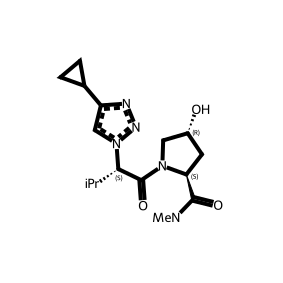 CNC(=O)[C@@H]1C[C@@H](O)CN1C(=O)[C@H](C(C)C)n1cc(C2CC2)nn1